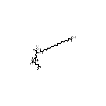 CC(=O)CCC(NC(=O)CC[C@H](NC(=O)CCCCCCCCCCCCCCCCC(=O)O)C(=O)O)C(=O)O